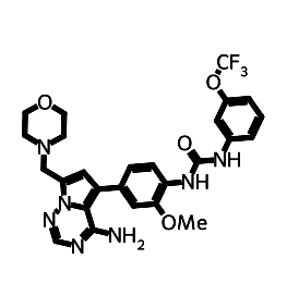 COc1cc(-c2cc(CN3CCOCC3)n3ncnc(N)c23)ccc1NC(=O)Nc1cccc(OC(F)(F)F)c1